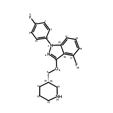 Fc1ccc(-n2nc(OC[C@H]3CCCNC3)c3c(F)cccc32)cc1